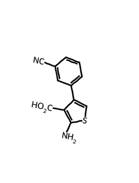 N#Cc1cccc(-c2csc(N)c2C(=O)O)c1